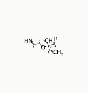 C=CC(C)(CI)OCC=N